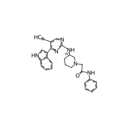 C#Cc1cnc(N[C@@H]2CCCN(CC(=O)Nc3cc[c]cc3)C2)nc1-c1c[nH]c2ccccc12